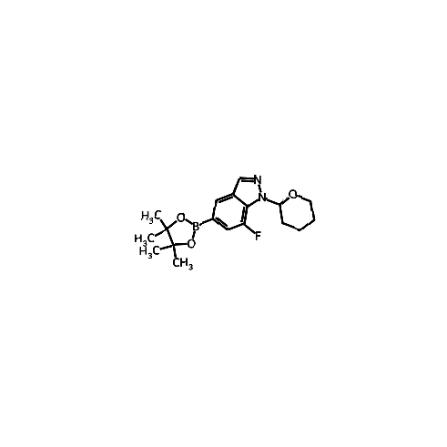 CC1(C)OB(c2cc(F)c3c(cnn3C3CCCCO3)c2)OC1(C)C